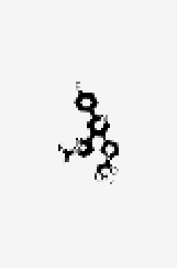 C=CC(=O)N1CC[C@H](c2cnc(-c3ccc(F)cc3)cc2-c2ccn(C(F)F)n2)C1